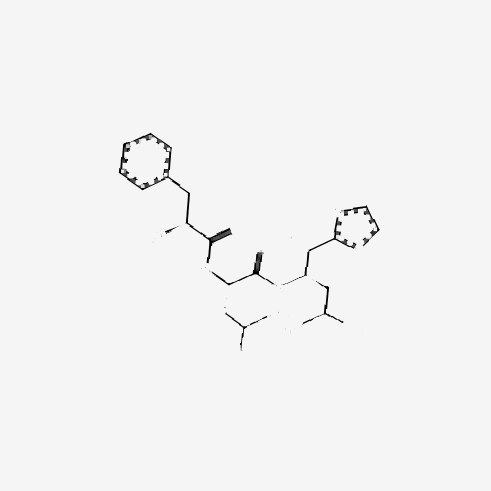 CC(C)C[C@H](NC(=O)[C@@H](N)Cc1ccccc1)C(=O)N[C@H](CC(C)C)[C@H](O)c1nccs1